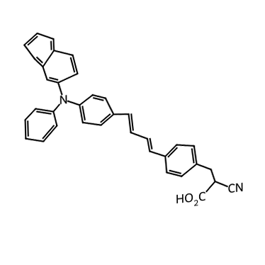 N#CC(Cc1ccc(/C=C/C=C/c2ccc(N(c3ccccc3)c3ccc4ccccc4c3)cc2)cc1)C(=O)O